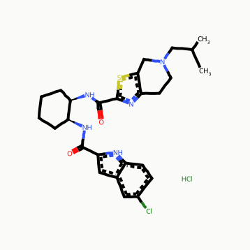 CC(C)CN1CCc2nc(C(=O)N[C@@H]3CCCC[C@@H]3NC(=O)c3cc4cc(Cl)ccc4[nH]3)sc2C1.Cl